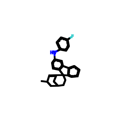 CC1C=C2CC(CCC23c2ccccc2-c2cc(Nc4ccc(F)cc4)ccc23)C1